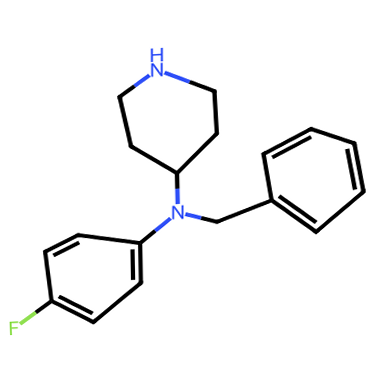 Fc1ccc(N(Cc2ccccc2)C2CCNCC2)cc1